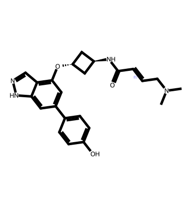 CN(C)C/C=C/C(=O)N[C@H]1C[C@H](Oc2cc(-c3ccc(O)cc3)cc3[nH]ncc23)C1